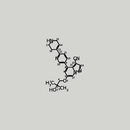 CC(C)(O)COc1cc(-c2ccc(C3=CCNCC3)nc2)c2c(C#N)cnn2c1